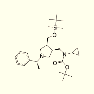 C[C@@H](c1ccccc1)N1C[C@@H](CO[Si](C)(C)C(C)(C)C)[C@@H](CN(C(=O)OC(C)(C)C)C2CC2)C1